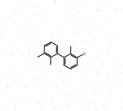 Cc1cccc(-c2cc[c]c(Cl)c2C)c1C